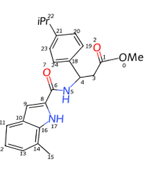 COC(=O)CC(NC(=O)c1cc2cccc(C)c2[nH]1)c1ccc(C(C)C)cc1